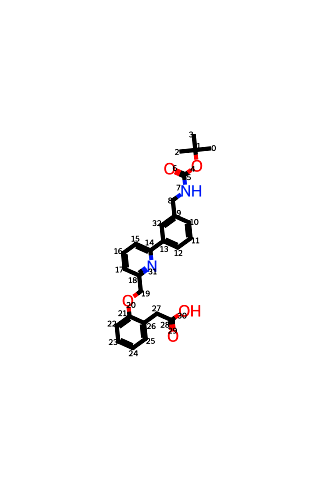 CC(C)(C)OC(=O)NCc1cccc(-c2cccc(COc3ccccc3CC(=O)O)n2)c1